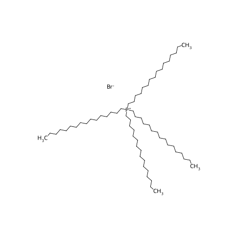 CCCCCCCCCCCCCCCC[P+](CCCCCCCCCCCCCCCC)(CCCCCCCCCCCCCCCC)CCCCCCCCCCCCCCCC.[Br-]